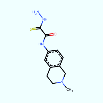 CN1CCc2cc(NC(=O)C(=S)NN)ccc2C1